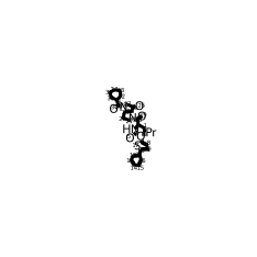 CC(C)CC(NC(=O)Oc1ccc(-c2ccccc2)s1)C(=O)N1CCC2C1C(=O)CN2C(=O)C1CCCCC1